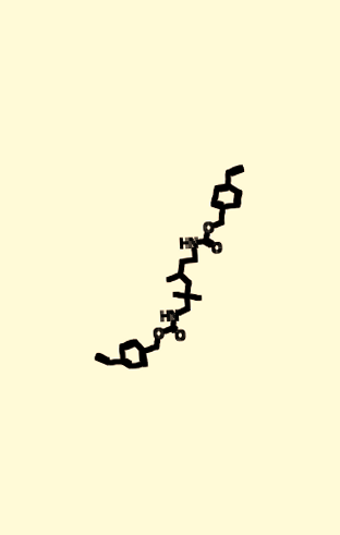 C=Cc1ccc(COC(=O)NCCC(C)CC(C)(C)CNC(=O)OCc2ccc(C=C)cc2)cc1